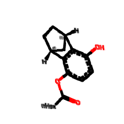 CCCCCCC(=O)Oc1ccc(O)c2c1[C@@H]1CC[C@H]2C1